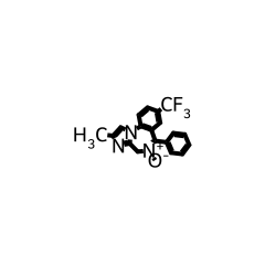 Cc1cn2c(n1)C[N+]([O-])=C(c1ccccc1)c1cc(C(F)(F)F)ccc1-2